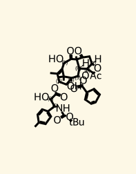 CC(=O)O[C@@]12CO[C@@H]1CC(=O)C1(C)C(=O)[C@H](O)C3=C(C)[C@@H](OC(=O)[C@H](O)[C@@H](NC(=O)OC(C)(C)C)c4ccc(C)cc4)C[C@@](O)([C@@H](OC(=O)c4ccccc4)[C@@H]12)C3(C)C